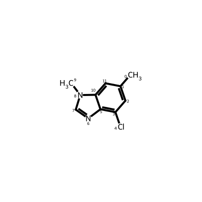 Cc1cc(Cl)c2ncn(C)c2c1